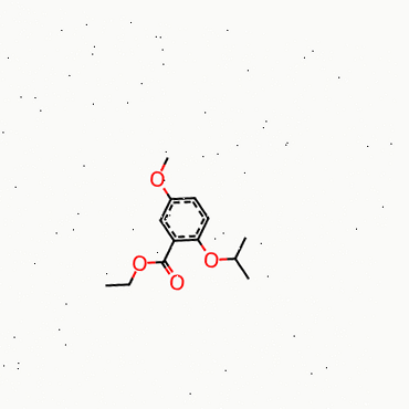 CCOC(=O)c1cc(OC)ccc1OC(C)C